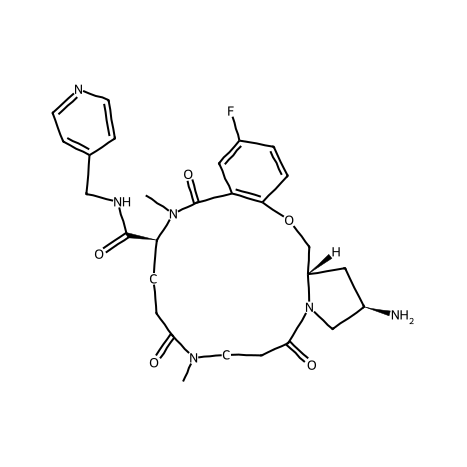 CN1CCC(=O)N2C[C@H](N)C[C@H]2COc2ccc(F)cc2C(=O)N(C)[C@H](C(=O)NCc2ccncc2)CCC1=O